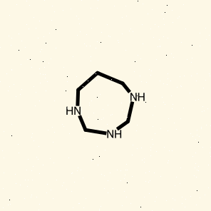 C1CNCNCNC1